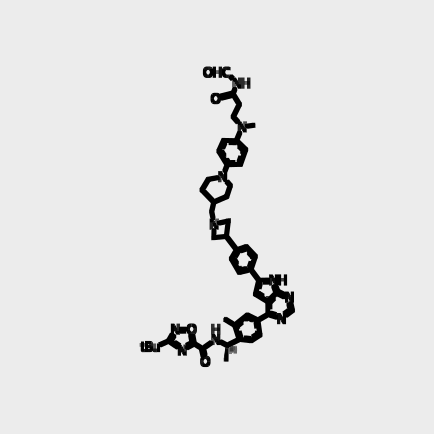 Cc1cc(-c2ncnc3[nH]c(-c4ccc(C5CN(CC6CCN(c7ccc(N(C)CCC(=O)NC=O)cc7)CC6)C5)cc4)cc23)ccc1[C@@H](C)NC(=O)c1nc(C(C)(C)C)no1